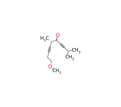 COCCC#C[C@H](C)C(=O)C#CC(C)C